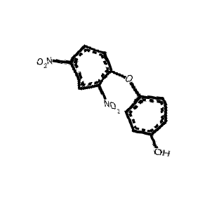 O=[N+]([O-])c1ccc(Oc2ccc(O)cc2)c([N+](=O)[O-])c1